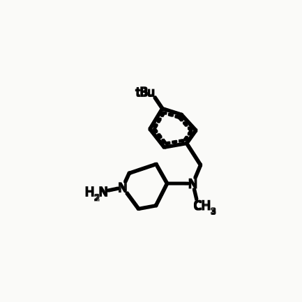 CN(Cc1ccc(C(C)(C)C)cc1)C1CCN(N)CC1